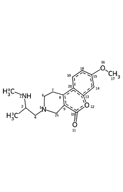 CNC(C)CN1CCc2c(c(=O)oc3cc(OC)ccc23)C1